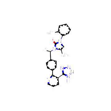 CCCCc1cn(-c2ccccc2CCC)c(=O)n1C(C)c1ccc(-c2ncccc2-c2nnn[nH]2)cc1